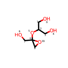 OCC(CO)OC1(CO)CO1